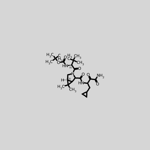 CC(C)(C)OC(=O)N[C@H](C(=O)N1C[C@H]2C(C1C(=O)NC(CC1CC1)C(=O)C(N)=O)C2(C)C)C(C)(C)C